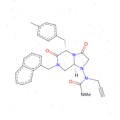 C#CCN(C(=O)NC)N1CC(=O)N2[C@@H](Cc3ccc(C)cc3)C(=O)N(Cc3cccc4ccccc34)C[C@@H]21